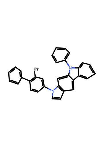 CC(C)c1cc(-n2ccc3cc4c5ccccc5n(-c5ccccc5)c4cc32)ccc1-c1ccccc1